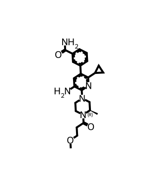 COCCC(=O)N1CCN(c2nc(C3CC3)c(-c3cccc(C(N)=O)c3)cc2N)C[C@H]1C